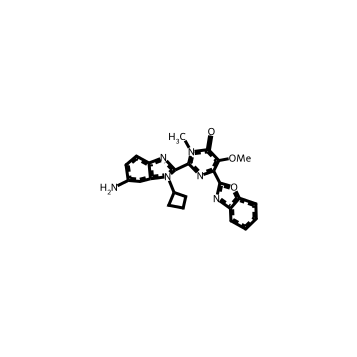 COc1c(-c2nc3ccccc3o2)nc(-c2nc3ccc(N)cc3n2C2CCC2)n(C)c1=O